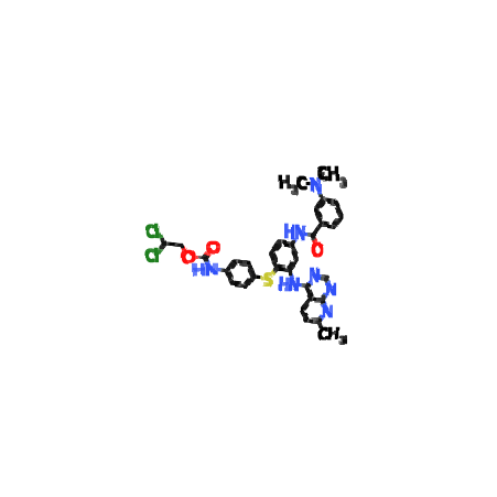 Cc1ccc2c(Nc3cc(NC(=O)c4cccc(N(C)C)c4)ccc3Sc3ccc(NC(=O)OCC(Cl)Cl)cc3)ncnc2n1